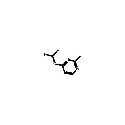 Cc1n[c]cc(OC(F)F)n1